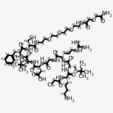 CC(C)(C)SC[C@H](NC(=O)[C@H](CCCCN)NC(=O)CCl)C(=O)N[C@@H](CCCNC(=N)N)C(=O)NCC(=O)N[C@@H](CC(=O)O)C(=O)NC(SC(C)(C)C)C(=O)N[C@@H](Cc1ccccc1)C(=O)N[C@@H](CS)C(=O)NCCOCCOCCOCCNC(=O)COCC(N)=O